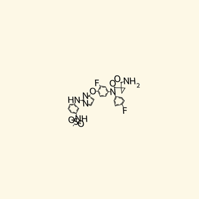 CS(=O)(=O)Nc1cccc(Nc2nccc(Oc3ccc(N(C(=O)C4(C(N)=O)CC4)c4ccc(F)cc4)cc3F)n2)c1